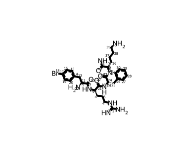 N=C(N)NCCC[C@@H](NC(=O)[C@@H](N)Cc1ccc(Br)cc1)C(=O)N[C@@H](Cc1ccccc1)C(=O)N[C@@H](CCCCN)C(N)=O